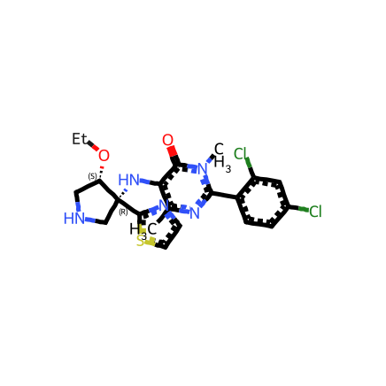 CCO[C@H]1CNC[C@]1(Nc1c(C)nc(-c2ccc(Cl)cc2Cl)n(C)c1=O)c1nccs1